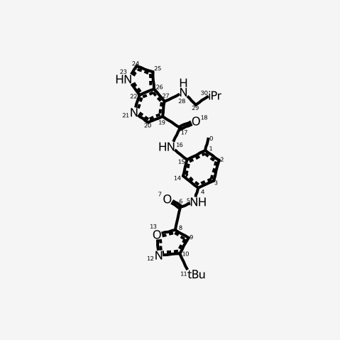 Cc1ccc(NC(=O)c2cc(C(C)(C)C)no2)cc1NC(=O)c1cnc2[nH]ccc2c1NCC(C)C